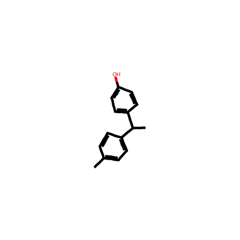 Cc1ccc(C(C)c2ccc(O)cc2)cc1